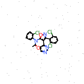 CC(=O)N(c1ccccc1Cl)c1onc(-c2c(Cl)cccc2Cl)c1-c1ccncn1